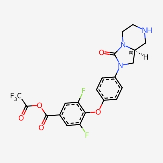 O=C(OC(=O)C(F)(F)F)c1cc(F)c(Oc2ccc(N3C[C@@H]4CNCCN4C3=O)cc2)c(F)c1